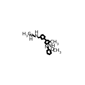 CNCCNCc1cccc(-c2cc(C)c3[nH]c(-c4ccccc4OC)nc3c2)c1